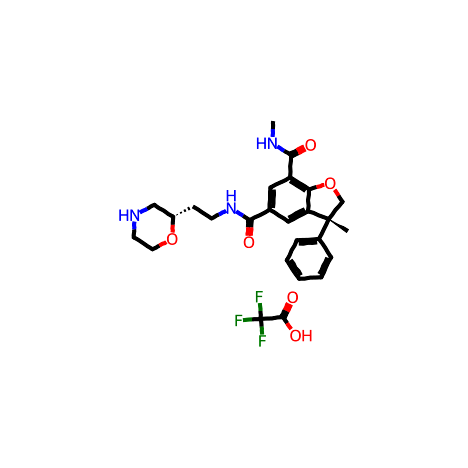 CNC(=O)c1cc(C(=O)NCC[C@H]2CNCCO2)cc2c1OC[C@]2(C)c1ccccc1.O=C(O)C(F)(F)F